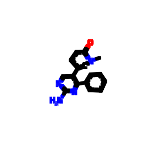 Cn1cc(-c2cnc(N)nc2-c2ccccc2)ccc1=O